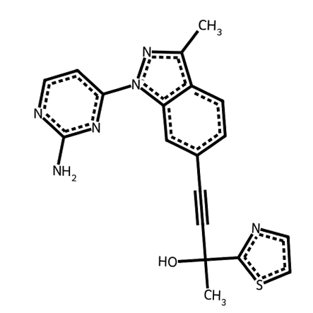 Cc1nn(-c2ccnc(N)n2)c2cc(C#CC(C)(O)c3nccs3)ccc12